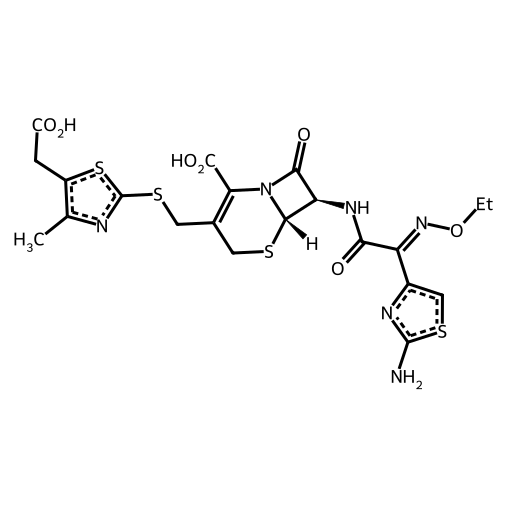 CCON=C(C(=O)N[C@@H]1C(=O)N2C(C(=O)O)=C(CSc3nc(C)c(CC(=O)O)s3)CS[C@@H]12)c1csc(N)n1